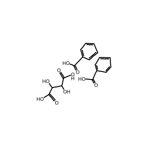 O=C(O)C(O)C(O)C(=O)O.O=C(O)c1ccccc1.O=C(O)c1ccccc1